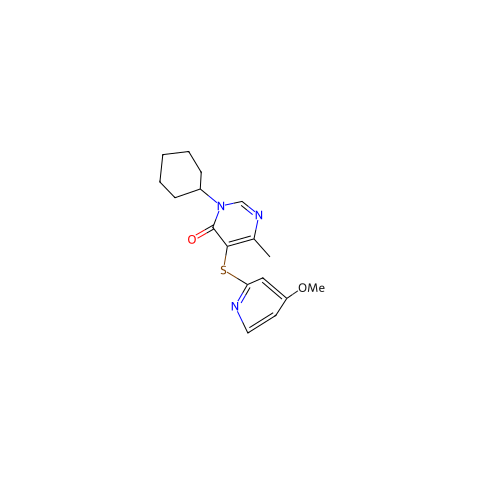 COc1ccnc(Sc2c(C)ncn(C3CCCCC3)c2=O)c1